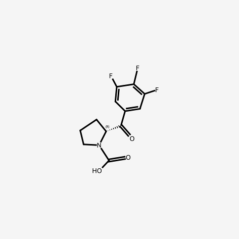 O=C(c1cc(F)c(F)c(F)c1)[C@H]1CCCN1C(=O)O